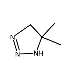 CC1(C)CN=NN1